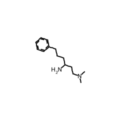 CN(C)CCC(N)CCCc1ccccc1